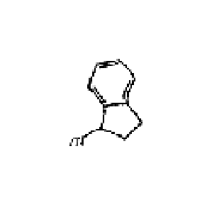 [C-]#[N+]C1CCc2ccccc21